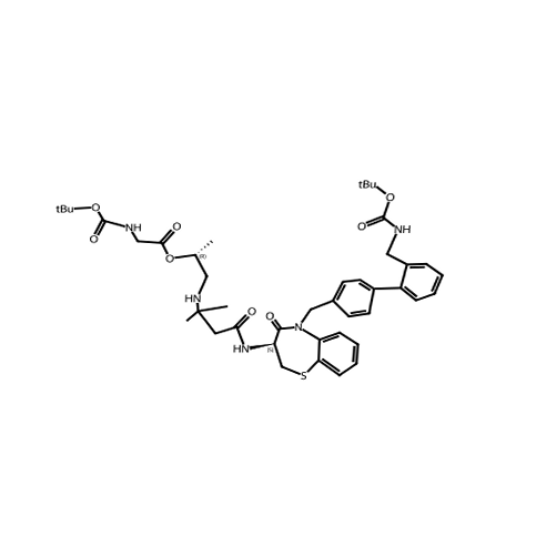 C[C@H](CNC(C)(C)CC(=O)N[C@@H]1CSc2ccccc2N(Cc2ccc(-c3ccccc3CNC(=O)OC(C)(C)C)cc2)C1=O)OC(=O)CNC(=O)OC(C)(C)C